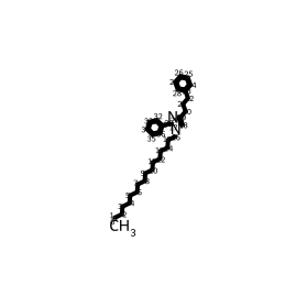 CCCCCCCCCCCCCCCCCn1cc(CCCc2ccccc2)nc1-c1ccccc1